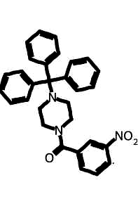 O=C(c1cc[c]c([N+](=O)[O-])c1)N1CCN(C(c2ccccc2)(c2ccccc2)c2ccccc2)CC1